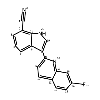 N#Cc1cccc2c(-c3ccc4ccc(F)cc4n3)c[nH]c12